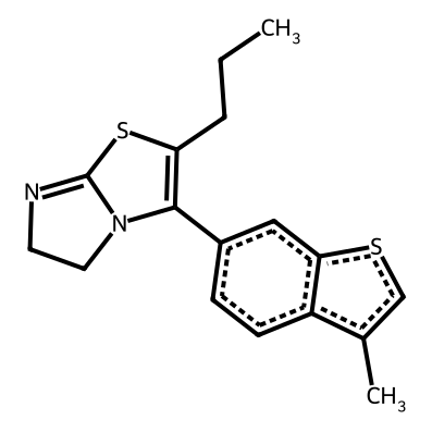 CCCC1=C(c2ccc3c(C)csc3c2)N2CCN=C2S1